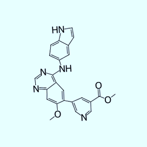 COC(=O)c1cncc(-c2cc3c(Nc4ccc5[nH]ccc5c4)ncnc3cc2OC)c1